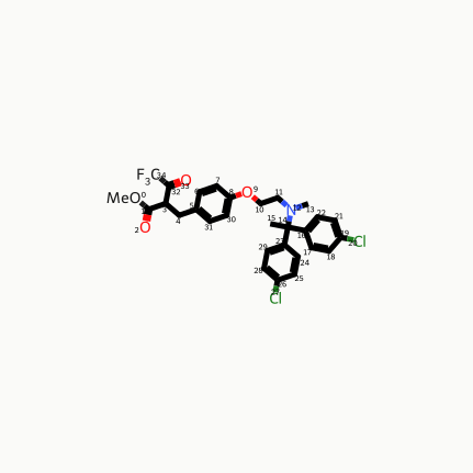 COC(=O)C(Cc1ccc(OCCN(C)C(C)(c2ccc(Cl)cc2)c2ccc(Cl)cc2)cc1)C(=O)C(F)(F)F